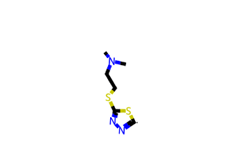 CN(C)CCSc1nn[c]s1